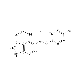 CC(=O)Nc1c(C(=O)Nc2ccc(C)cn2)ccc2[nH]ncc12